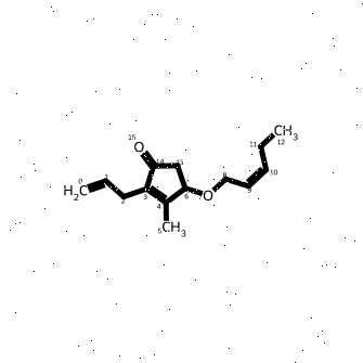 C=CCC1=C(C)C(OC/C=C\CC)CC1=O